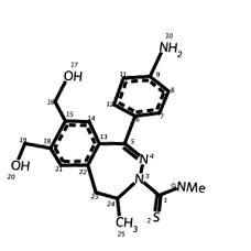 CNC(=S)N1N=C(c2ccc(N)cc2)c2cc(CO)c(CO)cc2CC1C